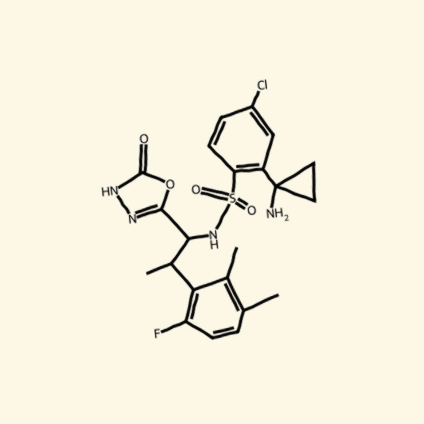 Cc1ccc(F)c(C(C)C(NS(=O)(=O)c2ccc(Cl)cc2C2(N)CC2)c2n[nH]c(=O)o2)c1C